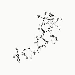 CCc1cc(CN2CCN(S(C)(=O)=O)CC2)ccc1-c1cc2c3c(c1C#N)C(F)(F)C3(O)C2(F)F